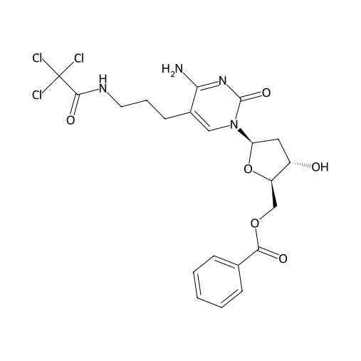 Nc1nc(=O)n([C@H]2C[C@H](O)[C@@H](COC(=O)c3ccccc3)O2)cc1CCCNC(=O)C(Cl)(Cl)Cl